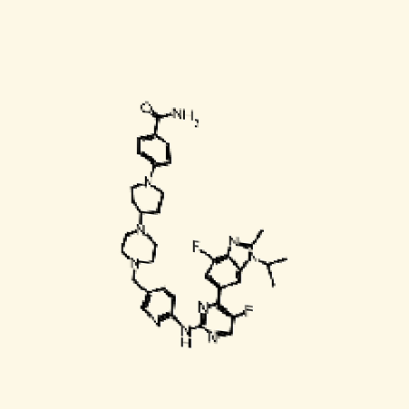 Cc1nc2c(F)cc(-c3nc(Nc4ccc(CN5CCN(C6CCN(c7ccc(C(N)=O)cc7)CC6)CC5)cn4)ncc3F)cc2n1C(C)C